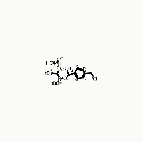 CC(ON(C(O[PH](=O)O)C(C)(C)C)C(C)(C)C)c1ccc(CCl)cc1